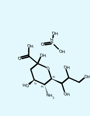 N[C@@H]1[C@@H](O)CC(O)(C(=O)O)O[C@H]1C(O)C(O)CO.O=[PH](O)O